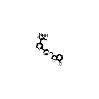 Cc1[nH]nnc1-c1ccnc(-c2cn(C[C@@H]3COc4c(Cl)cccc43)cn2)c1